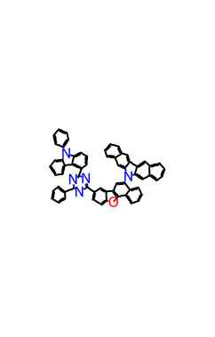 c1ccc(-c2nc(-c3ccc4oc5c6ccccc6c(-n6c7cc8ccccc8cc7c7cc8ccccc8cc76)cc5c4c3)nc(-c3cccc4c3c3ccccc3n4-c3ccccc3)n2)cc1